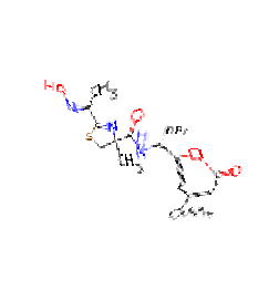 CCC[C@@H](NC(=O)[C@]1(C)CSC(/C(C)=N/O)=N1)c1cc(OC)cc(=O)o1